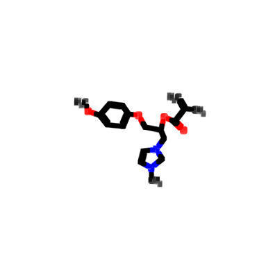 C=C(C)C(=O)OC(COc1ccc(OC)cc1)CN1C=CN(C)C1